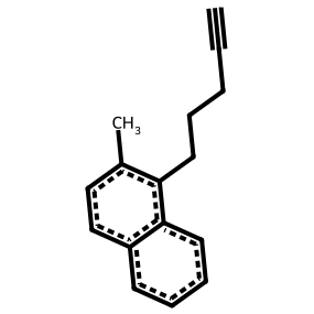 [C]#CCCCc1c(C)ccc2ccccc12